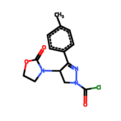 Cc1ccc(C2=NN(C(=O)Cl)CC2N2CCOC2=O)cc1